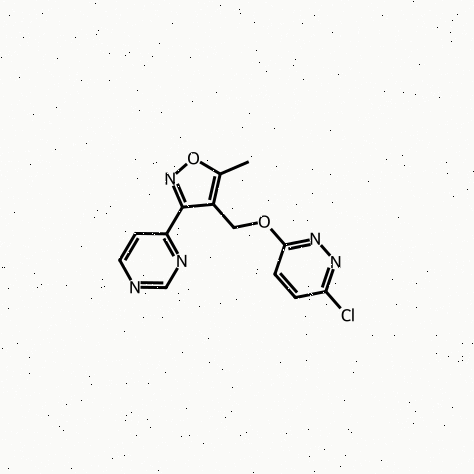 Cc1onc(-c2ccncn2)c1COc1ccc(Cl)nn1